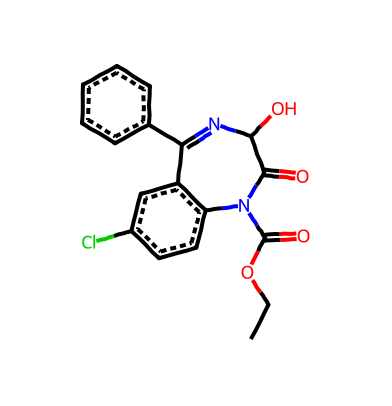 CCOC(=O)N1C(=O)C(O)N=C(c2ccccc2)c2cc(Cl)ccc21